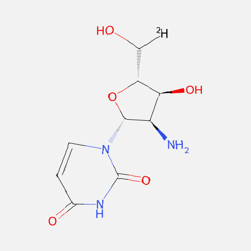 [2H]C(O)[C@H]1O[C@@H](n2ccc(=O)[nH]c2=O)[C@H](N)[C@@H]1O